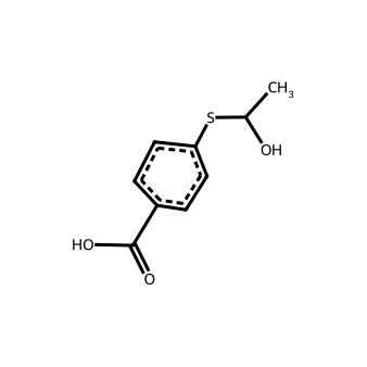 CC(O)Sc1ccc(C(=O)O)cc1